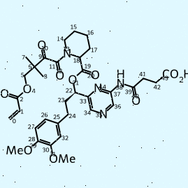 C=CC(=O)OCC(C)(C)C(=O)C(=O)N1CCCCC1C(=O)O[C@H](CCc1ccc(OC)c(OC)c1)c1cncc(NC(=O)CCC(=O)O)n1